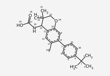 CC(C)(C)c1ccc(-c2cc3c(cc2F)C(NC(=O)O)C(C)(C)CO3)cc1